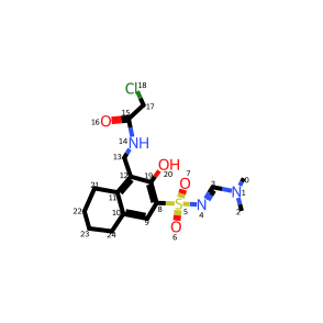 CN(C)/C=N/S(=O)(=O)c1cc2c(c(CNC(=O)CCl)c1O)CCCC2